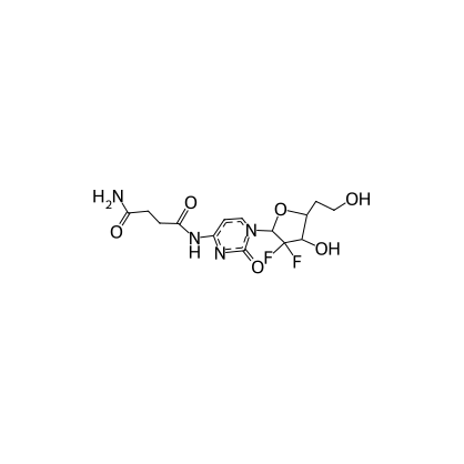 NC(=O)CCC(=O)Nc1ccn(C2OC(CCO)C(O)C2(F)F)c(=O)n1